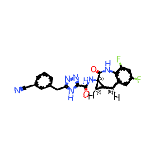 N#Cc1cccc(Cc2nnc(C(=O)N[C@@]34C(=O)Nc5c(F)cc(F)cc5[C@@H]5C3[C@@H]54)[nH]2)c1